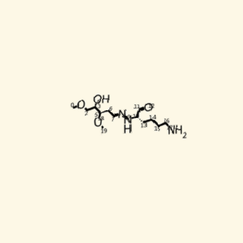 COC[C@@H](O)[C@@H](CC=NN[C@H](C=O)CCCCN)OC